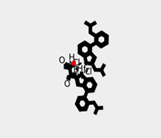 CC(C)CC1=Cc2c(-c3ccccc3CC(C)C)cccc2[CH]1[Hf]([Cl])([Cl])([B](NC=O)NC=O)[CH]1C(CC(C)C)=Cc2c(-c3ccccc3CC(C)C)cccc21